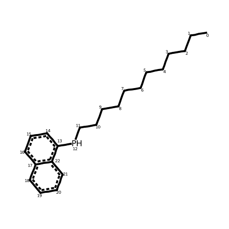 CCCCCCCCCCCCPc1cccc2ccccc12